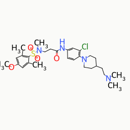 COc1cc(C)c(S(=O)(=O)N(C)CCC(=O)Nc2ccc(N3CCC(CCN(C)C)CC3)c(Cl)c2)c(C)c1